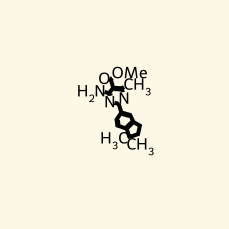 COC(=O)c1c(C)nc(-c2ccc3c(c2)CCC3(C)C)nc1N